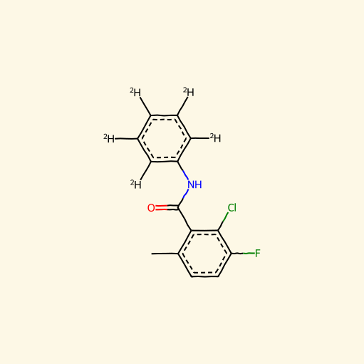 [2H]c1c([2H])c([2H])c(NC(=O)c2c(C)ccc(F)c2Cl)c([2H])c1[2H]